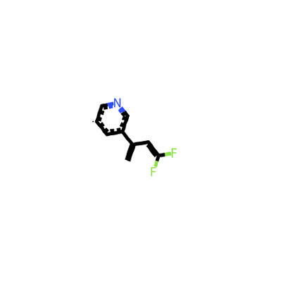 C=C(C=C(F)F)c1c[c]cnc1